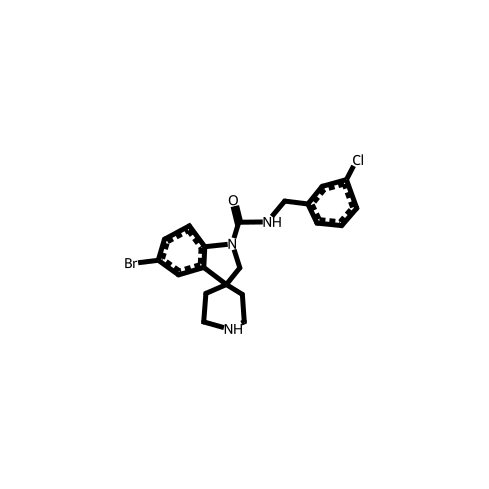 O=C(NCc1cccc(Cl)c1)N1CC2(CCNCC2)c2cc(Br)ccc21